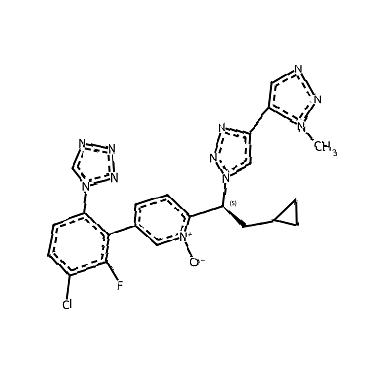 Cn1nncc1-c1cn([C@@H](CC2CC2)c2ccc(-c3c(-n4cnnn4)ccc(Cl)c3F)c[n+]2[O-])nn1